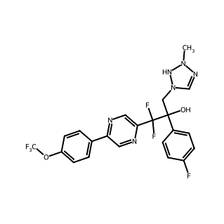 CN1N=CN(CC(O)(c2ccc(F)cc2)C(F)(F)c2cnc(-c3ccc(OC(F)(F)F)cc3)cn2)N1